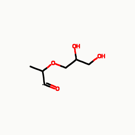 CC([C]=O)OCC(O)CO